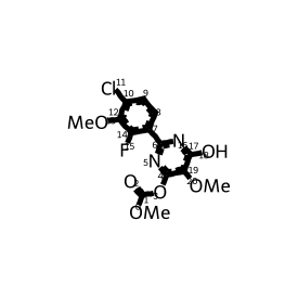 COC(=O)Oc1nc(-c2ccc(Cl)c(OC)c2F)nc(O)c1OC